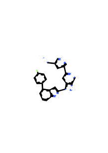 CCNCc1cncc(-c2cc3c(-c4cc5c(-c6ccc(F)cc6)cccc5[nH]4)n[nH]c3cn2)c1